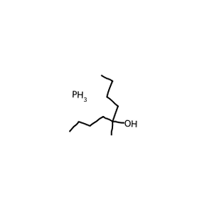 CCCCC(C)(O)CCCC.P